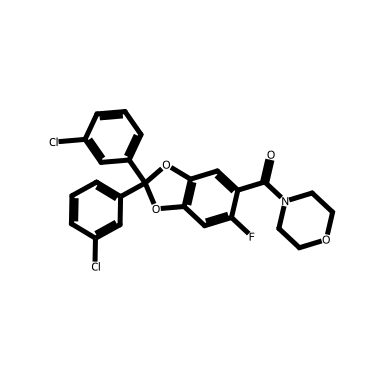 O=C(c1cc2c(cc1F)OC(c1cccc(Cl)c1)(c1cccc(Cl)c1)O2)N1CCOCC1